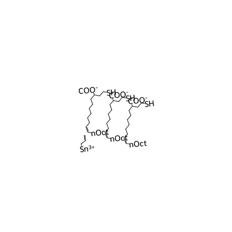 C=C[CH2][Sn+3].CCCCCCCC/C=C\CCCCCCC(CCS)C(=O)[O-].CCCCCCCC/C=C\CCCCCCC(CCS)C(=O)[O-].CCCCCCCC/C=C\CCCCCCC(CCS)C(=O)[O-]